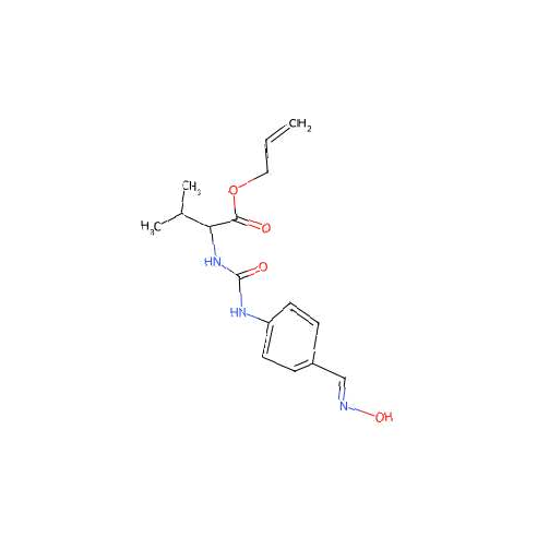 C=CCOC(=O)C(NC(=O)Nc1ccc(C=NO)cc1)C(C)C